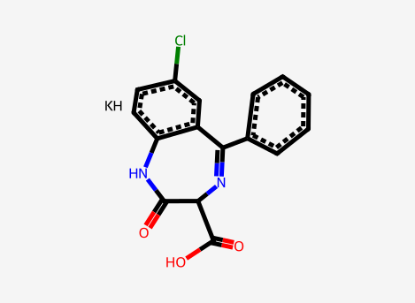 O=C(O)C1N=C(c2ccccc2)c2cc(Cl)ccc2NC1=O.[KH]